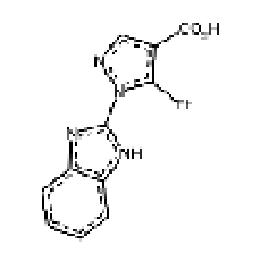 CCc1c(C(=O)O)cnn1-c1nc2ccccc2[nH]1